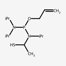 C=CCOP(N(C(C)C)C(C)C)N(C(C)C)C(C)S